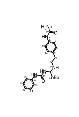 CCCCC(NCCc1ccc(NC(N)=O)cc1)NC(=O)Nc1ccccc1